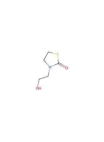 O=C1SCCN1CCO